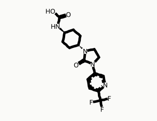 O=C(O)N[C@H]1CC[C@H](N2CCN(c3ccc(C(F)(F)F)nc3)C2=O)CC1